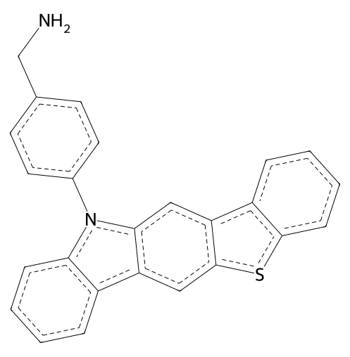 NCc1ccc(-n2c3ccccc3c3cc4sc5ccccc5c4cc32)cc1